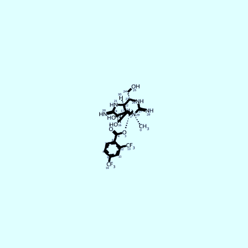 C[C@H]1[C@H](OC(=O)c2ccc(C(F)(F)F)cc2C(F)(F)F)C(O)(O)[C@]23NC(=N)N[C@H]2[C@H](CO)NC(=N)N13